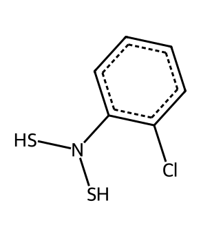 SN(S)c1ccccc1Cl